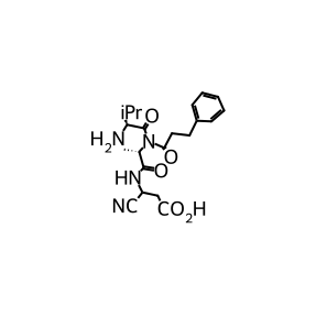 CC(C)[C@H](N)C(=O)N(C(=O)CCc1ccccc1)[C@@H](C)C(=O)NC(C#N)CC(=O)O